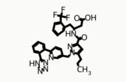 CCCc1cc(C(=O)NC(CC(=O)O)Cc2ccccc2C(F)(F)F)nn1Cc1ccc(-c2ccccc2-c2nnn[nH]2)nc1